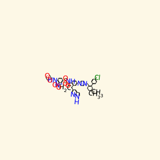 C=C(c1cnc2[nH]ccc2c1)c1cc(N2CCN(CC3=C(c4ccc(Cl)cc4)CC(C)(C)CC3)CC2)ccc1C(=O)NS(=O)(=O)c1ccc(NC[C@H]2COCCO2)c([N+](=O)[O-])c1